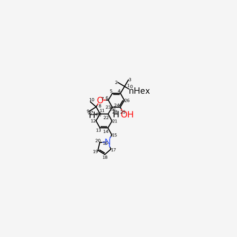 CCCCCCC(C)(C)C1=CC2OC(C)(C)[C@H]3CC=C(CN4CC=CC4)CC3[C@@H]2C(O)=C1